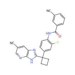 N#Cc1cccc(C(=O)Nc2ccc(C3(c4nc5cc(C#N)cnc5[nH]4)CCC3)cc2F)c1